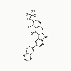 CCCS(=O)(=O)Nc1ccc(F)c(C(=O)C2CNc3ncc(-c4ccc5nccnc5c4)cc32)c1F